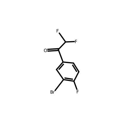 O=C(c1ccc(F)c(Br)c1)C(F)F